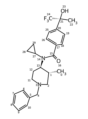 C[C@@H]1CN(Cc2ccccc2)CC[C@H]1N(C(=O)c1ccc([C@](C)(O)C(F)(F)F)cc1)C1CC1